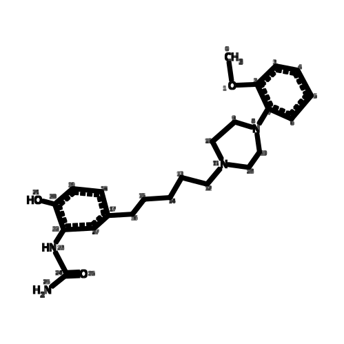 COc1ccccc1N1CCN(CCCCCc2ccc(O)c(NC(N)=O)c2)CC1